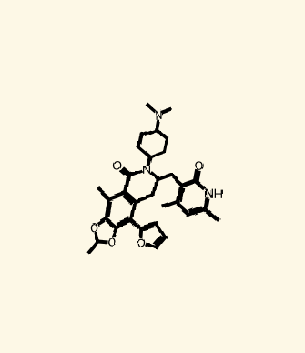 Cc1cc(C)c(CC2Cc3c(c(C)c4c(c3-c3ccco3)OC(C)O4)C(=O)N2C2CCC(N(C)C)CC2)c(=O)[nH]1